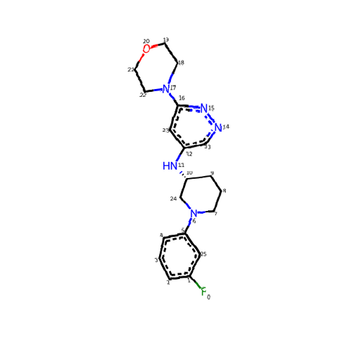 Fc1cccc(N2CCC[C@@H](Nc3cnnc(N4CCOCC4)c3)C2)c1